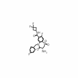 N[C@H]1CS(=O)(=O)c2cc(F)c(C(=O)NC3CC(F)(F)C3)cc2N(Cc2ccc(F)cc2)C1=O